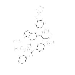 C[C@@H](NC(=O)c1ccc2c(c1)/C(=C(/Nc1ccc(CN3CCCC3)cc1)c1ccc3c(ccn3C)c1)C(=O)N2)c1ccccc1